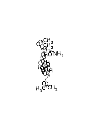 C=C1C(C[C@@H]2OC(C[C@H](O)CN)C[C@H]2CC(=O)CC2CC[C@@H]3O[C@@H]4[C@H]5O[C@@H]6C[C@](CCC7CC(=C)[C@H](C)O7)(O[C@H]5[C@H]3O2)O[C@H]46)OCC[C@H]1C